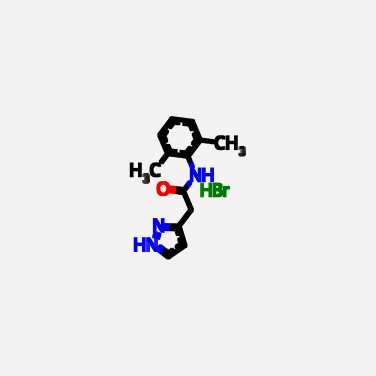 Br.Cc1cccc(C)c1NC(=O)Cc1cc[nH]n1